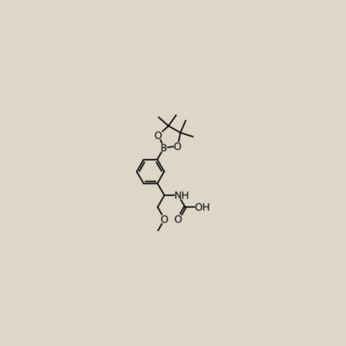 COCC(NC(=O)O)c1cccc(B2OC(C)(C)C(C)(C)O2)c1